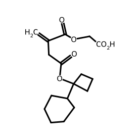 C=C(CC(=O)OC1(C2CCCCC2)CCC1)C(=O)OCC(=O)O